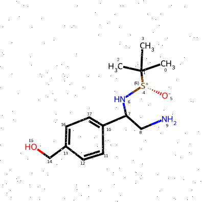 CC(C)(C)[S@+]([O-])NC(CN)c1ccc(CO)cc1